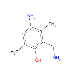 Cc1cc(N)c(C)c(CN)c1O